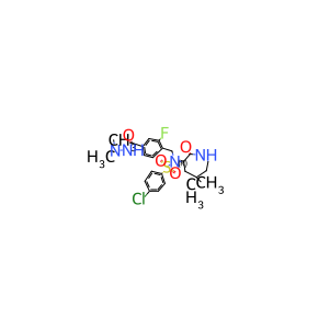 CN(C)NC(=O)c1ccc(CN([C@@H]2CC(C)(C)CCNC2=O)S(=O)(=O)c2ccc(Cl)cc2)c(F)c1